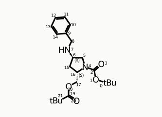 CC(C)(C)OC(=O)N1C[C@H](NCc2ccccc2)C[C@H]1COC(=O)C(C)(C)C